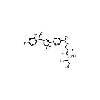 CN(C[C@H](O)[C@@H](O)[C@@H](O)C(O)CO)C(=O)c1ccc(C2=C/C(=C3\C(=O)Nc4cc(F)ccc43)OC2(C)C)cc1